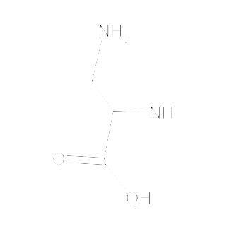 [NH]C(CN)C(=O)O